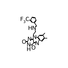 Cc1cc2nc3c(=O)[nH]c(=O)nc-3n(CCNCc3cccc(C(F)(F)F)c3)c2cc1C